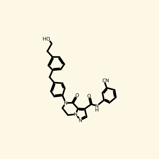 N#Cc1cccc(NC(=O)c2cnn3c2C(=O)N(c2ccc(Cc4cccc(CCO)c4)cc2)CC3)c1